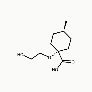 C[C@H]1CC[C@@](OCCO)(C(=O)O)CC1